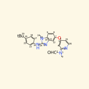 CN(C=O)c1cc(Oc2ccc3c(c2)nc(Nc2ccc(C(C)(C)C)cc2)n3C)ccn1